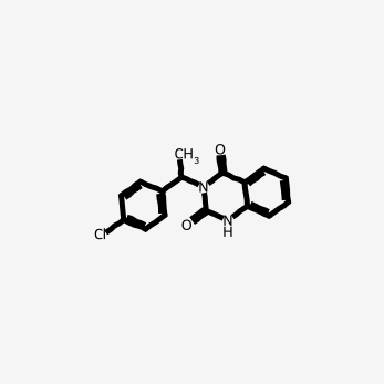 CC(c1ccc(Cl)cc1)n1c(=O)[nH]c2ccccc2c1=O